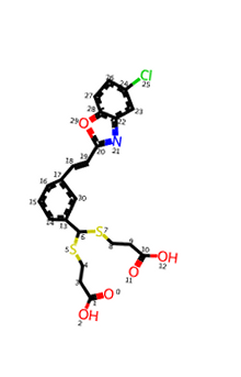 O=C(O)CCSC(SCCC(=O)O)c1cccc(C=Cc2nc3cc(Cl)ccc3o2)c1